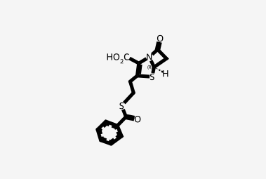 O=C(O)C1=C(CCSC(=O)c2ccccc2)S[C@@H]2CC(=O)N12